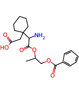 CC(COC(=O)c1ccccc1)OC(=O)C(N)C1(CC(=O)O)CCCCC1